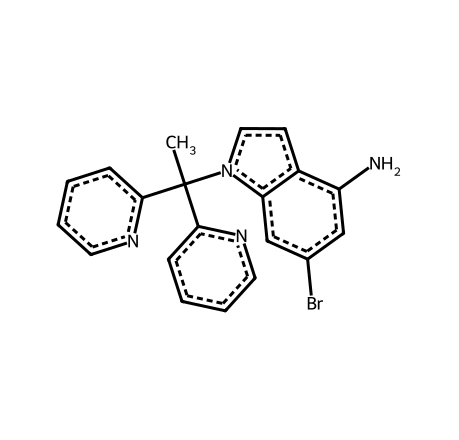 CC(c1ccccn1)(c1ccccn1)n1ccc2c(N)cc(Br)cc21